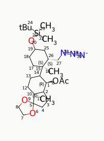 CC(=O)O[C@H]1C2CCC3(OCCO3)[C@@]2(C)CCC1[C@@]1(C)CCC(O[Si](C)(C)C(C)(C)C)C[C@@H]1CN=[N+]=[N-]